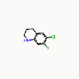 Fc1cc2c(cc1Cl)CCCN2